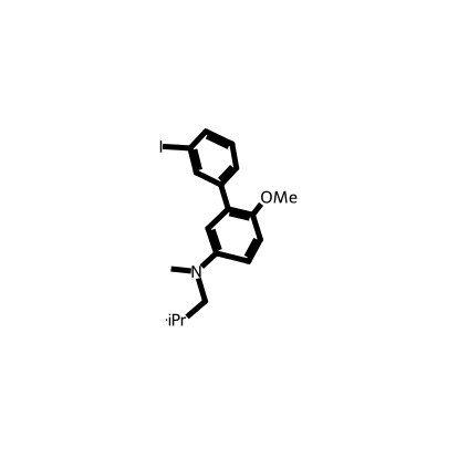 COc1ccc(N(C)C[C](C)C)cc1-c1cccc(I)c1